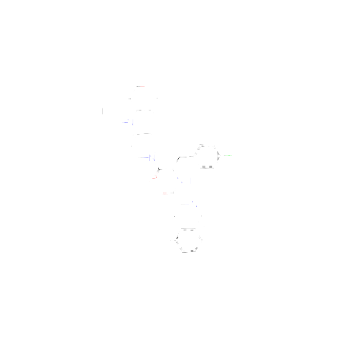 CC(C)CN(C1CCOCC1)C1CCN(C(=O)[C@@H](Cc2ccc(Cl)cc2)NC(=O)[C@H]2Cc3ccccc3CN2)CC1